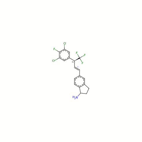 NC1CCc2cc(/C=C/[C@@H](c3cc(Cl)c(F)c(Cl)c3)C(F)(F)F)ccc21